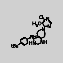 Cc1c(Cl)ncnc1N1C=CC2=C(CC1)C(Nc1ccc(C(C)(C)C)cc1)NCN2